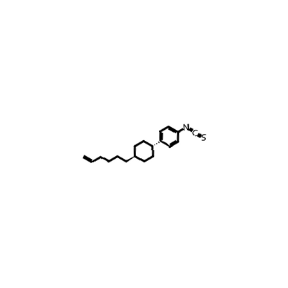 C=CCCCC[C@H]1CC[C@H](c2ccc(N=C=S)cc2)CC1